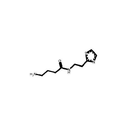 NCCCC(=O)NCCc1nccs1